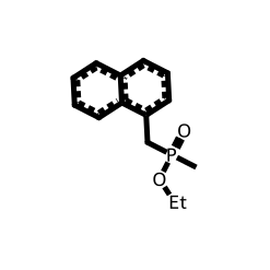 CCOP(C)(=O)Cc1cccc2ccccc12